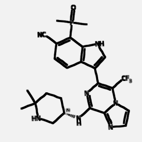 CC1(C)CC[C@H](Nc2nc(-c3c[nH]c4c(P(C)(C)=O)c(C#N)ccc34)c(C(F)(F)F)n3ccnc23)CN1